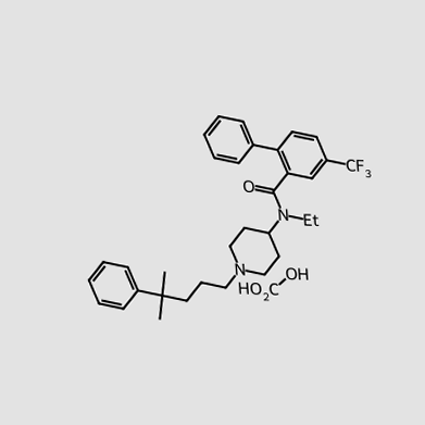 CCN(C(=O)c1cc(C(F)(F)F)ccc1-c1ccccc1)C1CCN(CCCC(C)(C)c2ccccc2)CC1.O=C(O)O